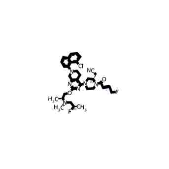 C[C@@H](F)CN(C)[C@@H](C)COc1nc2c(c(N3CCN(C(=O)/C=C/CF)[C@@H](CC#N)C3)n1)CCN(c1cccc3cccc(Cl)c13)C2